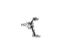 CC(C)(C)NCCCC(=O)N[C@@H](CCC(=O)NCCOCCOCC(=O)C(C)(C)C)C(=O)O